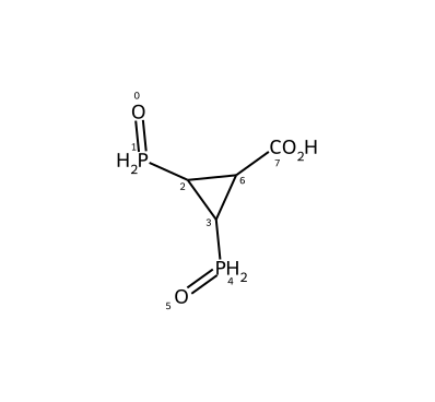 O=[PH2]C1C([PH2]=O)C1C(=O)O